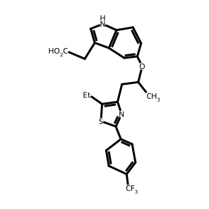 CCc1sc(-c2ccc(C(F)(F)F)cc2)nc1CC(C)Oc1ccc2[nH]cc(CC(=O)O)c2c1